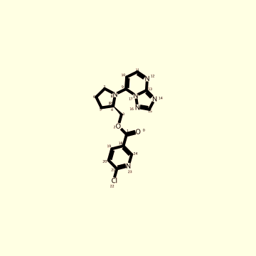 O=C(OC[C@H]1CCCN1c1ccnc2ncnn12)c1ccc(Cl)nc1